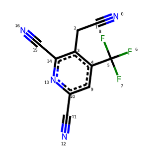 N#CCc1c(C(F)(F)F)cc(C#N)nc1C#N